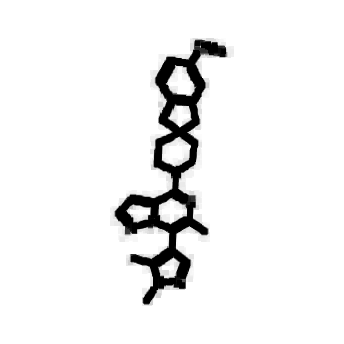 COc1ccc2c(c1)CC1(CCN(c3nc(C)c(-c4cnn(C)c4C)n4nccc34)CC1)C2